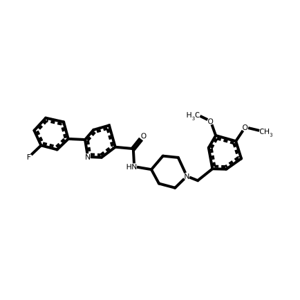 COc1ccc(CN2CCC(NC(=O)c3ccc(-c4cccc(F)c4)nc3)CC2)cc1OC